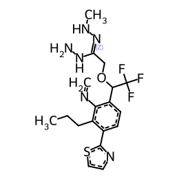 C=Nc1c(C(OC/C(=N/NC)NN)C(F)(F)F)ccc(-c2nccs2)c1CCC